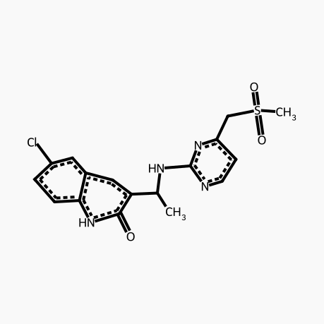 CC(Nc1nccc(CS(C)(=O)=O)n1)c1cc2cc(Cl)ccc2[nH]c1=O